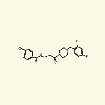 O=C(NCCC(=O)N1CCN(Cc2ccc(F)cc2Cl)CC1)c1ccc(Cl)cc1